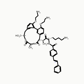 C[C@@H]1NC(=O)[C@@H](N(C)C(=O)[C@H](CCCCN)NC(=O)c2ccc(/C=C/c3ccccc3)cc2)c2ccc(OCCN)c(c2)-c2cc(ccc2OCCN)C[C@@H](C(=O)O)NC1=O